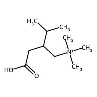 CC(C)C(CC(=O)O)C[N+](C)(C)C